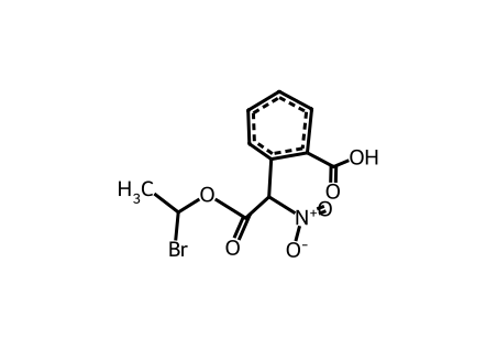 CC(Br)OC(=O)C(c1ccccc1C(=O)O)[N+](=O)[O-]